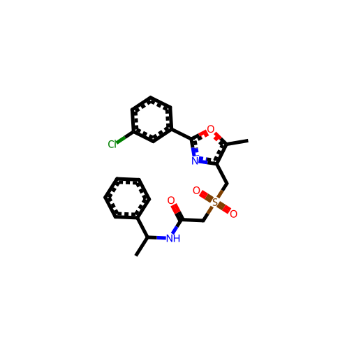 Cc1oc(-c2cccc(Cl)c2)nc1CS(=O)(=O)CC(=O)NC(C)c1ccccc1